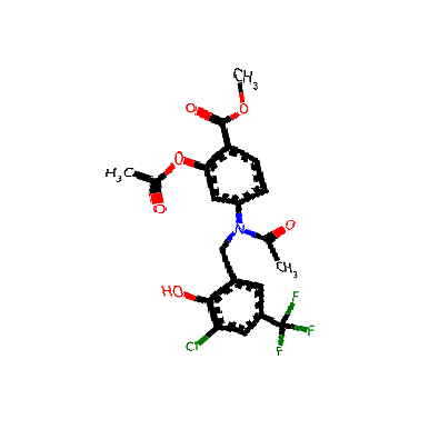 COC(=O)c1ccc(N(Cc2cc(C(F)(F)F)cc(Cl)c2O)C(C)=O)cc1OC(C)=O